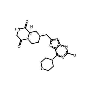 O=C1NCC(=O)N2CCN(Cc3cc4nc(Cl)nc(N5CCOCC5)c4s3)C[C@H]12